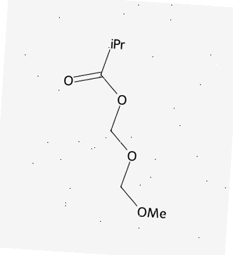 COCOCOC(=O)C(C)C